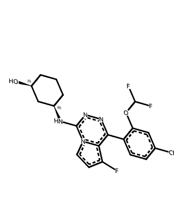 O[C@H]1CCC[C@@H](Nc2nnc(-c3ccc(C(F)(F)F)cc3OC(F)F)c3c(F)ccn23)C1